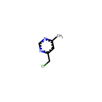 Cc1cc(CCl)ncn1